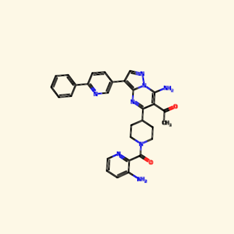 CC(=O)c1c(C2CCN(C(=O)c3ncccc3N)CC2)nc2c(-c3ccc(-c4ccccc4)nc3)cnn2c1N